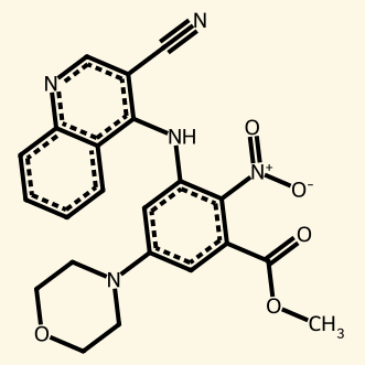 COC(=O)c1cc(N2CCOCC2)cc(Nc2c(C#N)cnc3ccccc23)c1[N+](=O)[O-]